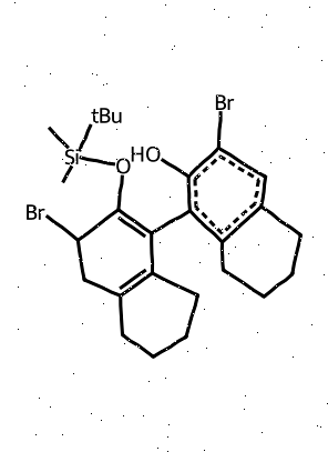 CC(C)(C)[Si](C)(C)OC1=C(c2c(O)c(Br)cc3c2CCCC3)C2=C(CCCC2)CC1Br